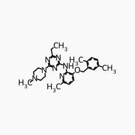 CCc1nc(Nc2nc(C)ccc2OCc2cc(C)ccc2C)nc(N2CCN(C)CC2)n1